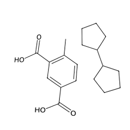 C1CCC(C2CCCC2)C1.Cc1ccc(C(=O)O)cc1C(=O)O